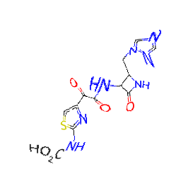 O=C(O)Nc1nc(C(=O)C(=O)NC2C(=O)NC2Cn2cncn2)cs1